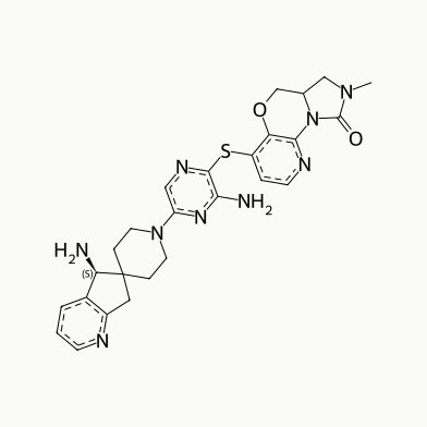 CN1CC2COc3c(Sc4ncc(N5CCC6(CC5)Cc5ncccc5[C@H]6N)nc4N)ccnc3N2C1=O